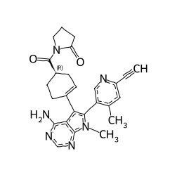 C#Cc1cc(C)c(-c2c(C3=CC[C@H](C(=O)N4CCCC4=O)CC3)c3c(N)ncnc3n2C)cn1